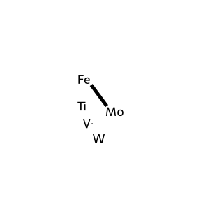 [Fe][Mo].[Ti].[V].[W]